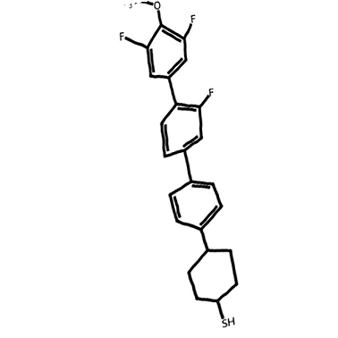 Fc1cc(-c2ccc(C3CCC(S)CC3)cc2)ccc1-c1cc(F)c(OC(F)(F)F)c(F)c1